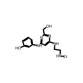 CCNCCNc1cc(Nc2cccc(O)c2)nc(CO)n1